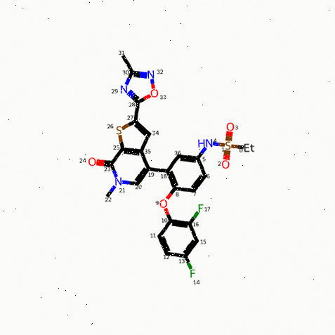 CCS(=O)(=O)Nc1ccc(Oc2ccc(F)cc2F)c(-c2cn(C)c(=O)c3sc(-c4nc(C)no4)cc23)c1